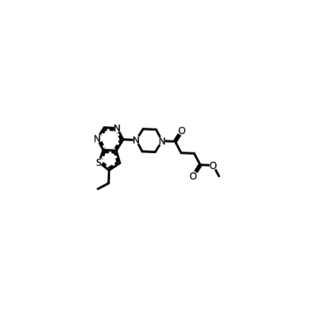 CCc1cc2c(N3CCN(C(=O)CCC(=O)OC)CC3)ncnc2s1